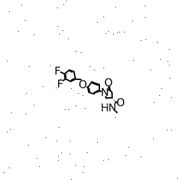 CNC(=O)[C@H]1CC(=O)N(c2ccc(OCc3ccc(F)c(F)c3)cc2)C1